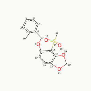 Cc1ccccc1COc1ccc2c(c1S(C)(=O)=O)OCO2